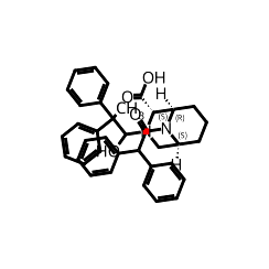 CC(c1ccccc1)(c1ccccc1)C(O)N1C[C@@H]2CCC[C@H]([C@H]1C(=O)O)N2C(=O)C(c1ccccc1)c1ccccc1